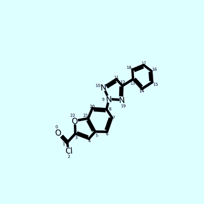 O=C(Cl)c1cc2ccc(-n3ncc(-c4ccccc4)n3)cc2o1